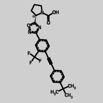 CC(C)(C)c1ccc(C#Cc2ccc(-c3noc([C@@H]4CCCN4C(=O)O)n3)cc2C(F)(F)F)cc1